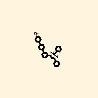 Brc1ccc(-c2ccc(-c3cccc(-c4cc(-c5ccccc5)nc(-c5ccccc5)n4)c3)cc2)cc1